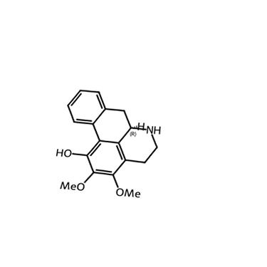 COc1c(O)c2c3c(c1OC)CCN[C@@H]3Cc1ccccc1-2